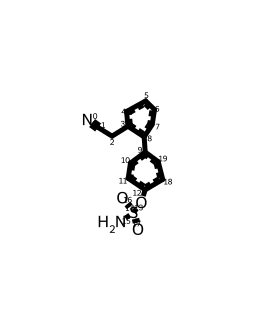 N#CCc1ccccc1-c1ccc(OS(N)(=O)=O)cc1